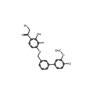 Cc1c(OCc2cccc(-c3ccc(Cl)c(OC=O)c3)c2)ccc(C(=O)CC(C)C)c1O